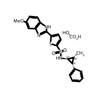 COc1ccc2[nH]c(-c3ccc(S(=O)(=O)N[C@H]4[C@H](C)[C@@H]4c4ccccc4)s3)nc2c1.O=C(O)O